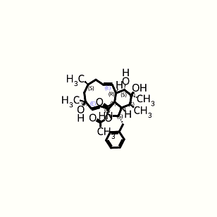 CC(=O)O[C@@H]1/C=C/[C@](C)(O)C[C@@H](C)C/C=C/[C@H]2[C@H](O)[C@@](C)(O)[C@@H](C)[C@H]3[C@H](Cc4ccccc4)NC(=O)[C@@]312